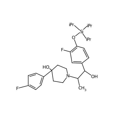 CC(C(O)c1ccc(O[Si](C(C)C)(C(C)C)C(C)C)c(F)c1)N1CCC(O)(c2ccc(F)cc2)CC1